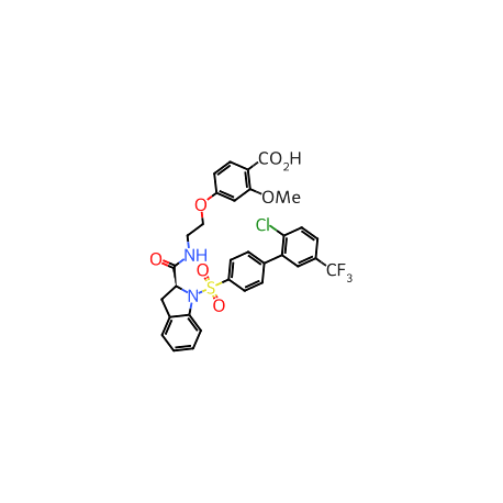 COc1cc(OCCNC(=O)[C@@H]2Cc3ccccc3N2S(=O)(=O)c2ccc(-c3cc(C(F)(F)F)ccc3Cl)cc2)ccc1C(=O)O